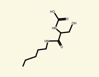 CCCCCNC(=O)C(CO)NC(=O)O